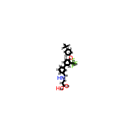 CC(C)(C)[C@H]1CC[C@H](Oc2ccc(-c3cccc(CNCCC(=O)O)c3)cc2C(F)(F)F)CC1